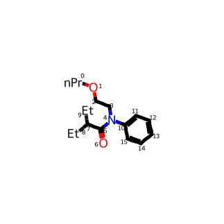 CCCOCCN(C(=O)C(CC)CC)c1ccccc1